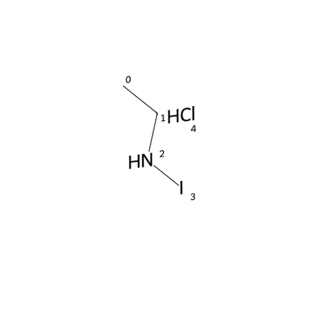 CCNI.Cl